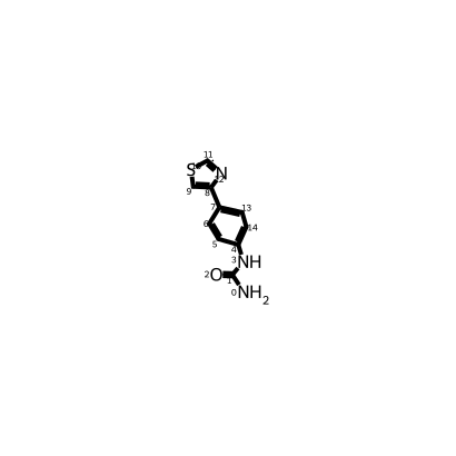 NC(=O)Nc1ccc(-c2cs[c]n2)cc1